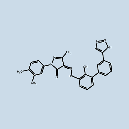 CC1=NN(c2ccc(C)c(C)c2)C(=O)/C1=N\Nc1cccc(-c2cccc(-c3nnn[nH]3)c2)c1O